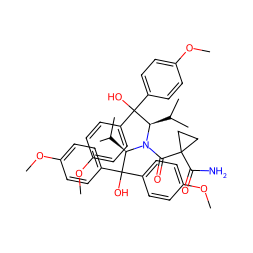 COc1ccc(C(O)(c2ccc(OC)cc2)[C@@H](C(C)C)N(C(=O)C2(C(N)=O)CC2)[C@H](C(C)C)C(O)(c2ccc(OC)cc2)c2ccc(OC)cc2)cc1